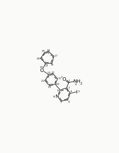 NC(=O)c1c(I)ccnc1-c1ccc(Oc2ccccc2)cc1